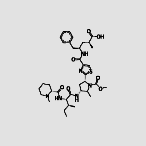 CC[C@H](C)[C@H](NC(=O)[C@H]1CCCCN1C)C(=O)N[C@@H]1C[C@H](c2nc(C(=O)N[C@@H](Cc3ccccc3)C[C@H](C)C(=O)O)cs2)N(C(=O)OC)C1C